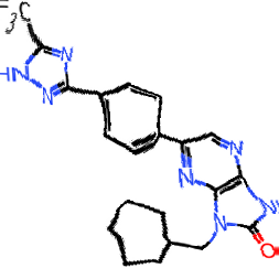 O=c1[nH]c2ncc(-c3ccc(-c4n[nH]c(C(F)(F)F)n4)cc3)nc2n1CC1CCCCC1